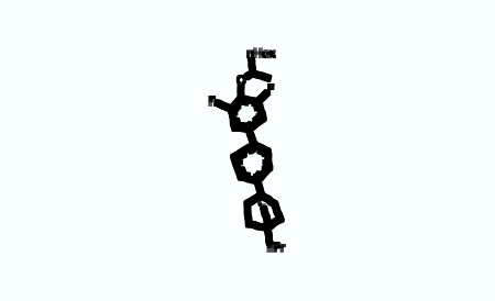 CCCCCCC(C)Oc1c(F)cc(-c2ccc(C34CCC(CCC)(CC3)CC4)cc2)cc1F